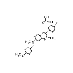 COc1ccc(CN(C)c2cc3nc(C)c(-c4ccc(F)c(NC(=O)O)c4)cc3cn2)cc1